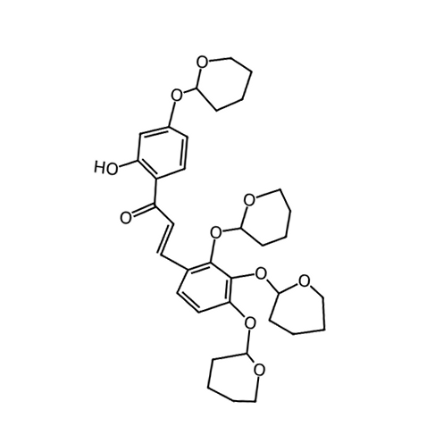 O=C(C=Cc1ccc(OC2CCCCO2)c(OC2CCCCO2)c1OC1CCCCO1)c1ccc(OC2CCCCO2)cc1O